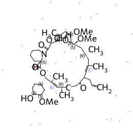 C=CCC1/C=C(\C)C[C@@H](C)C[C@H](OC)[C@H]2O[C@@](O)(C(=O)C(=O)N3CCCC[C@H]3C(=O)OC([C@H]3CC[C@H](O)[C@@H](OC)C3)/C(C)=C/[C@H](C)CCC1=O)[C@H](C)C[C@@H]2OC